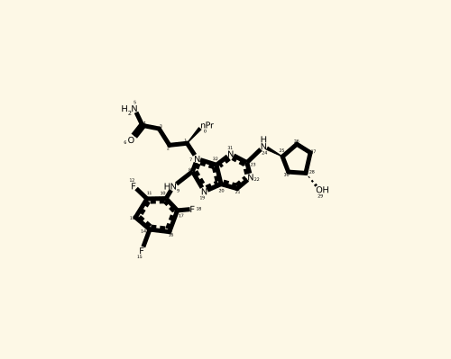 CCC[C@H](CCC(N)=O)n1c(Nc2c(F)cc(F)cc2F)nc2cnc(N[C@H]3CC[C@H](O)C3)nc21